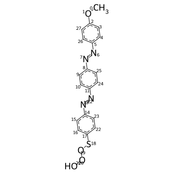 COc1ccc(N=Nc2ccc(N=Nc3ccc(SOOO)cc3)cc2)cc1